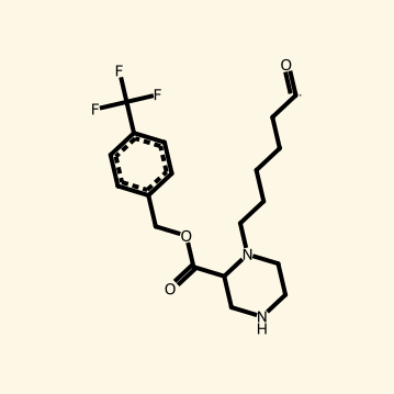 O=[C]CCCCCN1CCNCC1C(=O)OCc1ccc(C(F)(F)F)cc1